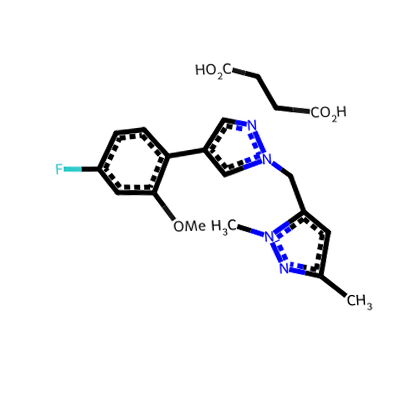 COc1cc(F)ccc1-c1cnn(Cc2cc(C)nn2C)c1.O=C(O)CCC(=O)O